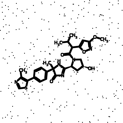 COc1cc(C(C(=O)N2C[C@H](O)C[C@H]2C2=NC(=O)C(C)(c3ccc(-c4scnc4C)cc3)N2)C(C)C)on1